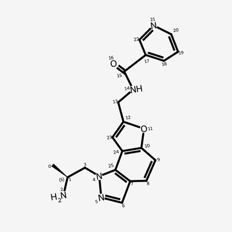 C[C@H](N)Cn1ncc2ccc3oc(CNC(=O)c4cccnc4)cc3c21